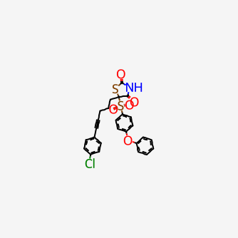 O=C1NC(=O)C(CCCC#Cc2ccc(Cl)cc2)(S(=O)(=O)c2ccc(Oc3ccccc3)cc2)S1